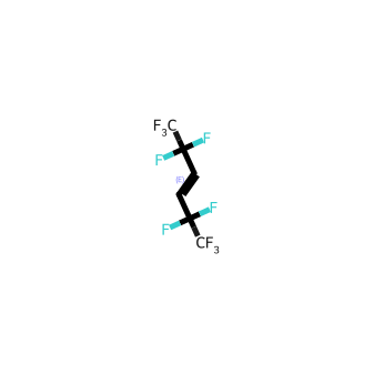 FC(F)(F)C(F)(F)/C=C/C(F)(F)C(F)(F)F